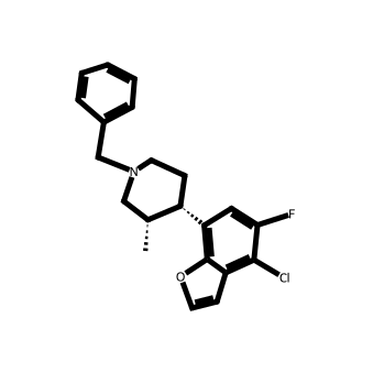 C[C@@H]1CN(Cc2ccccc2)CC[C@@H]1c1cc(F)c(Cl)c2ccoc12